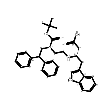 CC(C)(C)OC(=O)N(CCN[C@H](CC(=O)O)Cc1c[nH]c2ccccc12)CC(c1ccccc1)c1ccccc1